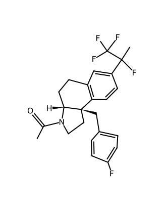 CC(=O)N1CC[C@@]2(Cc3ccc(F)cc3)c3ccc(C(C)(F)C(F)(F)F)cc3CC[C@@H]12